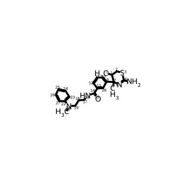 CC1CSC(N)=NC1(C)c1cccc(C(=O)NCCCN(C)c2ccccc2)c1